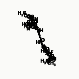 CCOc1ccc(S(=O)(=O)Nc2cc3c(C(=O)NO)c(C)n(S(=O)(=O)c4ccc(NCCCCCCCC(=O)NCCN5CCC(C(=O)Nc6nc7c(F)cc(N(CCN(C)C)S(=O)(=O)c8cccs8)cc7s6)CC5)cc4)c3c3ccccc23)cc1